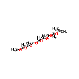 C[Si](C)O[SiH2]O[SiH2]O[SiH2]O[SiH2]O[SiH2]O[SiH2]O[SiH2]O[SiH3]